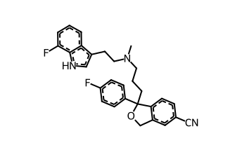 CN(CCCC1(c2ccc(F)cc2)OCc2cc(C#N)ccc21)CCc1c[nH]c2c(F)cccc12